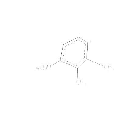 CC(=O)Nc1cccc(C(F)(F)F)c1C(F)(F)F